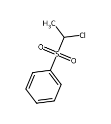 CC(Cl)S(=O)(=O)c1ccccc1